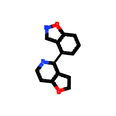 c1cc(-c2nccc3occc23)c2cnoc2c1